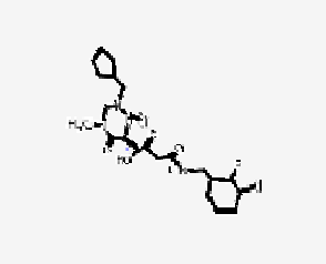 CCN1/C(=C(/O)C(=O)CC(=O)NCC2CCCC(Cl)C2F)C(=O)N(C)CN1CC1CCCC1